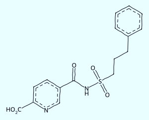 O=C(NS(=O)(=O)CCCc1ccccc1)c1ccc(C(=O)O)nc1